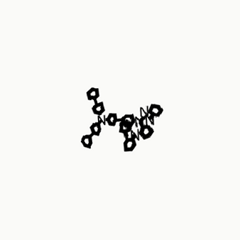 c1ccc(-c2ccc(N(c3ccc(-c4ccccc4)cc3)c3ccc(-c4ccc(-n5c6c(-n7c8ccccc8c8ccccc87)cccc6n6c7ccccc7nc56)cc4)cc3)cc2)cc1